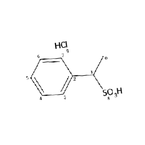 CC(c1ccccc1)S(=O)(=O)O.Cl